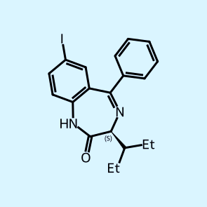 CCC(CC)[C@@H]1N=C(c2ccccc2)c2cc(I)ccc2NC1=O